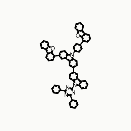 c1ccc(-c2nc(-c3ccccc3)nc(-n3c4ccccc4c4cc(-c5ccc6c(c5)c5cc(-c7cccc8c7oc7ccccc78)ccc5n6-c5ccc(-c6cccc7c6oc6ccccc67)cc5)ccc43)n2)cc1